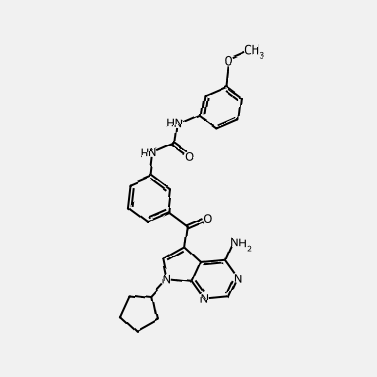 COc1cccc(NC(=O)Nc2cccc(C(=O)c3cn(C4CCCC4)c4ncnc(N)c34)c2)c1